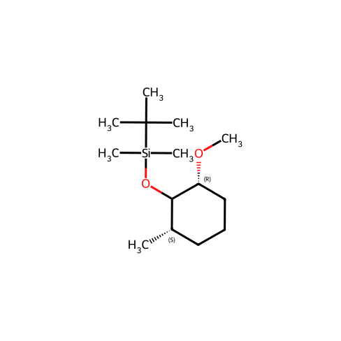 CO[C@@H]1CCC[C@H](C)C1O[Si](C)(C)C(C)(C)C